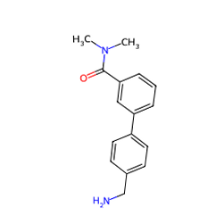 CN(C)C(=O)c1cccc(-c2ccc(CN)cc2)c1